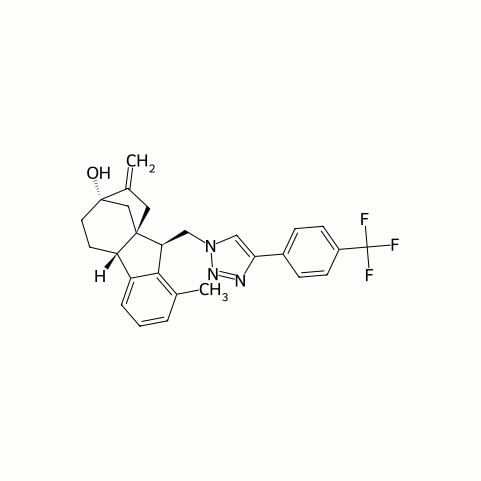 C=C1C[C@]23C[C@@]1(O)CC[C@H]2c1cccc(C)c1[C@@H]3Cn1cc(-c2ccc(C(F)(F)F)cc2)nn1